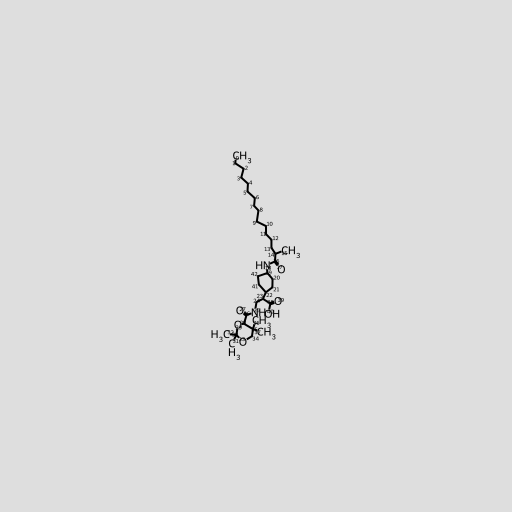 CCCCCCCCCCCCCCC(C)C(=O)NC1CCC(C(CNC(=O)C2OC(C)(C)OCC2(C)C)C(=O)O)CC1